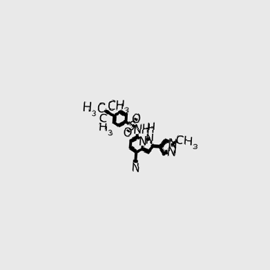 Cn1cc(C2C=C3C(C#N)=CC=C(NS(=O)(=O)c4ccc(C(C)(C)C)cc4)N3N2)cn1